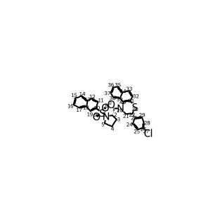 O=C([C@@H]1CCCN1S(=O)(=O)c1ccc2ccccc2c1)N1C[C@@H](c2ccc(Cl)cc2)Sc2ccc3ccccc3c21